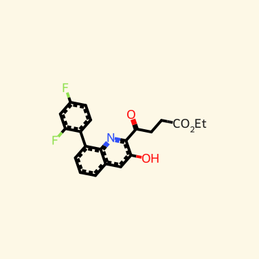 CCOC(=O)CCC(=O)c1nc2c(-c3ccc(F)cc3F)cccc2cc1O